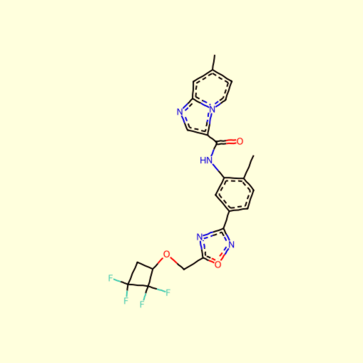 Cc1ccn2c(C(=O)Nc3cc(-c4noc(COC5CC(F)(F)C5(F)F)n4)ccc3C)cnc2c1